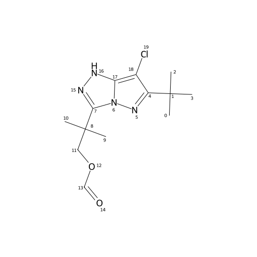 CC(C)(C)c1nn2c(C(C)(C)COC=O)n[nH]c2c1Cl